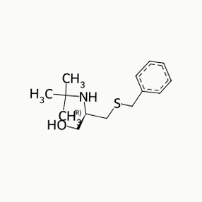 CC(C)(C)N[C@H](CO)CSCc1ccccc1